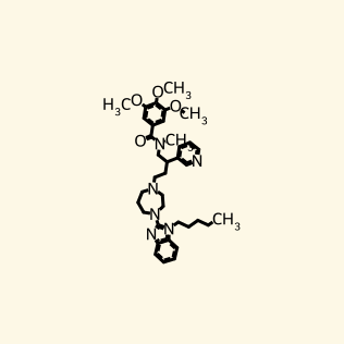 CCCCCn1c(N2CCCN(CCC(CN(C)C(=O)c3cc(OC)c(OC)c(OC)c3)c3cccnc3)CC2)nc2ccccc21